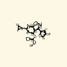 COC(=O)Oc1cc(C2CC2)nc2onc(-c3ccco3)c12